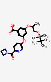 CC(CO[Si](C)(C)C(C)(C)C)Oc1cc(Oc2ccc(C(=O)N3CCC3)nc2)cc(C(=O)O)c1